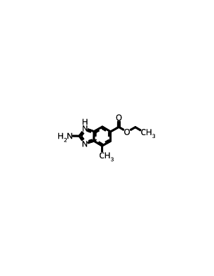 CCOC(=O)c1cc(C)c2nc(N)[nH]c2c1